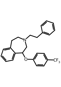 FC(F)(F)c1ccc(OC2CN(CCc3ccccc3)CCc3ccccc32)cc1